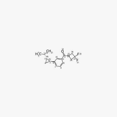 CC(C)[C@H]1C[C@@H]1c1cccc(C(=O)N2CC(F)(F)C2)c1